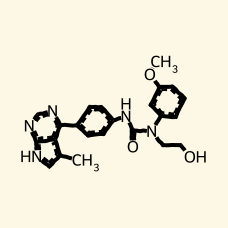 COc1cccc(N(CCO)C(=O)Nc2ccc(-c3ncnc4[nH]cc(C)c34)cc2)c1